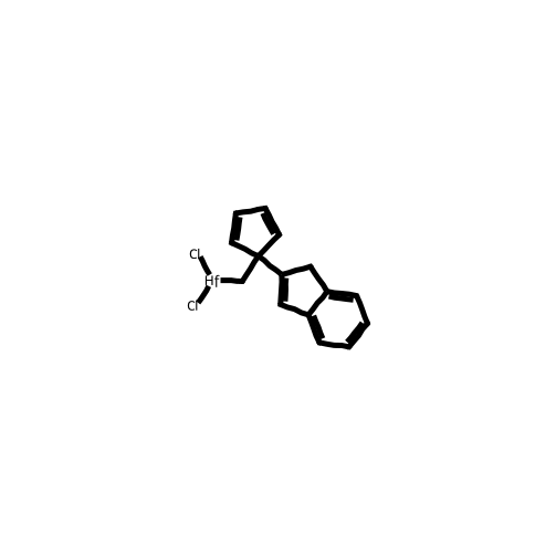 [Cl][Hf]([Cl])[CH2]C1(C2=Cc3ccccc3C2)C=CC=C1